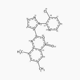 Cc1cc(C)c2nc(-c3ccnn3-c3ncccc3Cl)oc(=O)c2c1